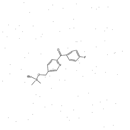 CC(C)(C)[Si](C)(C)OCc1ccc(C(=O)c2ccc(F)cc2)nc1